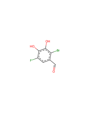 O=Cc1cc(F)c(O)c(O)c1Br